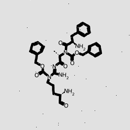 C[C@@H](C(=O)N=C(N)N(CCC[C@H](N)C=O)C(=O)OCc1ccccc1)N(C(=O)OCc1ccccc1)C(=O)[C@H](N)Cc1ccccc1